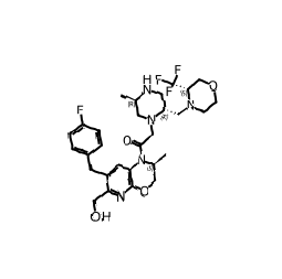 C[C@@H]1CN(CC(=O)N2c3cc(Cc4ccc(F)cc4)c(CO)nc3OC[C@@H]2C)[C@@H](CN2CCOC[C@H]2C(F)(F)F)CN1